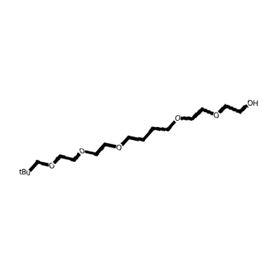 CC(C)(C)COCCOCCOCCCCOCCOCCO